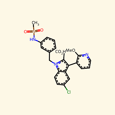 COc1ncccc1-c1c(C(=O)O)n(Cc2cccc(NS(C)(=O)=O)c2)c2ccc(Cl)cc12